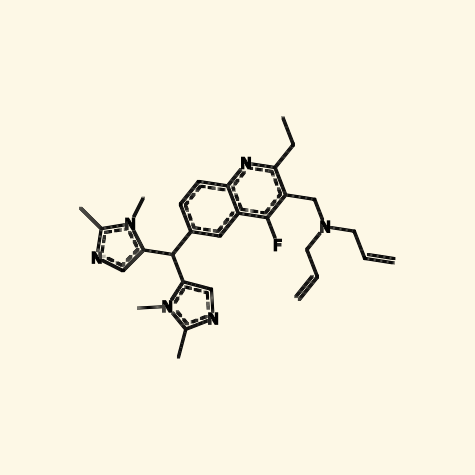 C=CCN(CC=C)Cc1c(CC)nc2ccc(C(c3cnc(C)n3C)c3cnc(C)n3C)cc2c1F